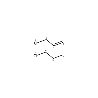 C=CCCl.CCCCl